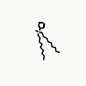 CCCCCCCCC[N+](C)(CCCCCCCCC)c1ccccc1